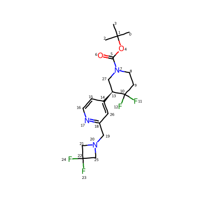 CC(C)(C)OC(=O)N1CCC(F)(F)[C@@H](c2ccnc(CN3CC(F)(F)C3)c2)C1